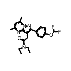 CCN(CC)C(=O)Cc1c(-c2ccc(OC(F)F)cc2)nn2c(C)cc(C)nc12